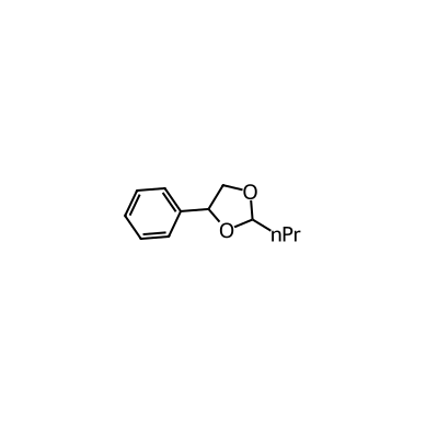 CCCC1OCC(c2ccccc2)O1